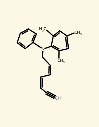 C#C/C=C\C=C/CN(c1ccccc1)c1c(C)cc(C)cc1C